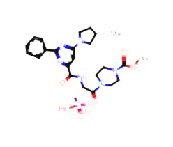 CCCCOC(=O)N1CCN(C(=O)[C@H](CP(=O)(O)O)NC(=O)c2cc(N3CC[C@H](OC)C3)nc(-c3ccccc3)n2)CC1